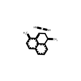 C=C1CC=c2c(=C)ccc3cccc1c23.N=C=N